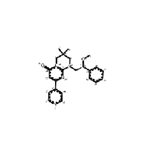 CO[C@H](CN1CC(C)(C)Cn2c1nc(-c1ccncc1)cc2=O)c1ccccc1